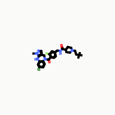 Cn1ncc2c1Nc1cc(Cl)ccc1N(C(=O)c1ccc(CNC(=O)C3CCN(CCC(C)(C)C)CC3)cc1F)C2